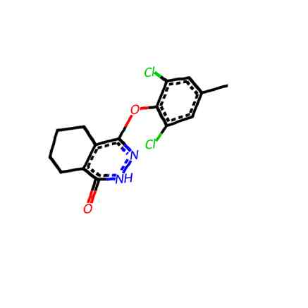 Cc1cc(Cl)c(Oc2n[nH]c(=O)c3c2CCCC3)c(Cl)c1